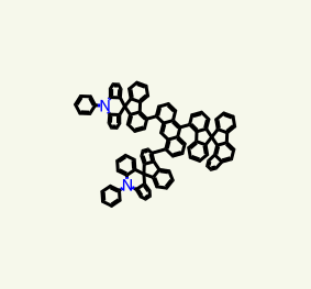 c1ccc(N2c3ccccc3C3(c4ccccc4-c4c(-c5cccc6c(-c7cccc8c7-c7ccccc7C87c8ccccc8-c8ccc9ccccc9c87)c7cccc(-c8cccc9c8-c8ccccc8C98c9ccccc9N(c9ccccc9)c9ccccc98)c7cc56)cccc43)c3ccccc32)cc1